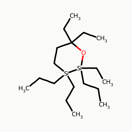 CCC[Si]1(CCC)CCC(CC)(CC)O[Si]1(CC)CCC